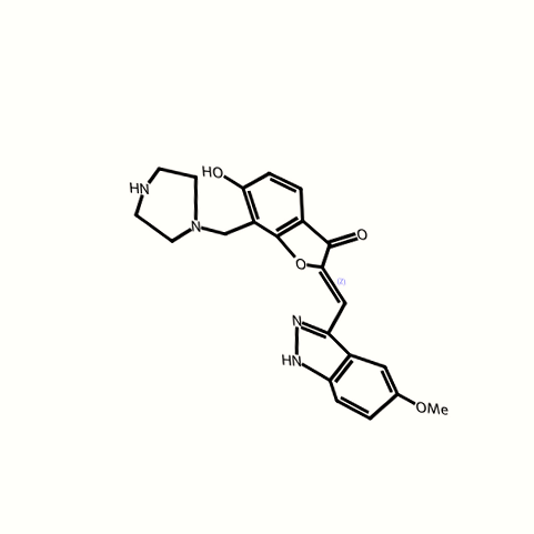 COc1ccc2[nH]nc(/C=C3\Oc4c(ccc(O)c4CN4CCNCC4)C3=O)c2c1